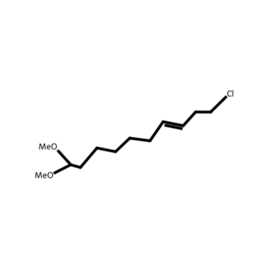 COC(CCCCC/C=C/CCCl)OC